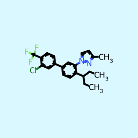 CCC(CC)c1ccc(-c2ccc(C(F)(F)F)c(Cl)c2)cc1-n1ccc(C)n1